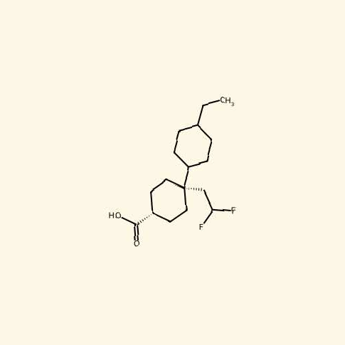 CCC1CCC([C@]2(CC(F)F)CC[C@@H](C(=O)O)CC2)CC1